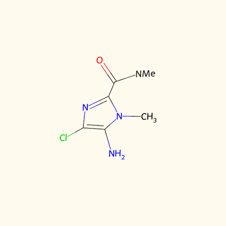 CNC(=O)c1nc(Cl)c(N)n1C